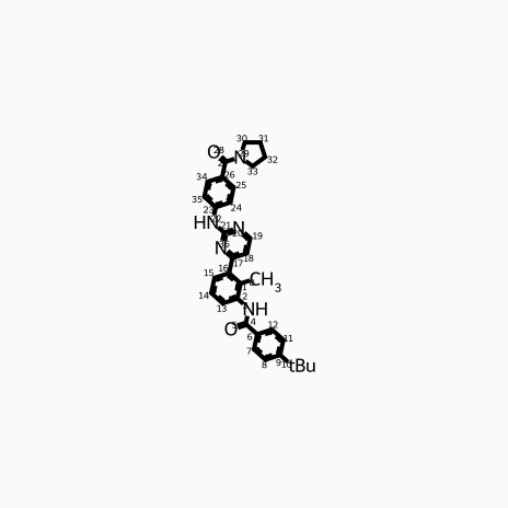 Cc1c(NC(=O)c2ccc(C(C)(C)C)cc2)cccc1-c1ccnc(Nc2ccc(C(=O)N3CCCC3)cc2)n1